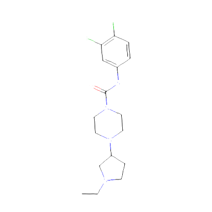 CCN1CCC(N2CCN(C(=O)Nc3ccc(Cl)c(Cl)c3)CC2)C1